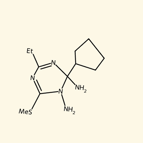 CCC1=NC(N)(C2CCCC2)N(N)C(SC)=N1